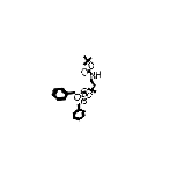 CC(C)(C)OC(=O)NCCC(C)(C)OP(=O)(OCc1ccccc1)OCc1ccccc1